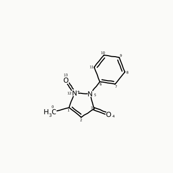 CC1=CC(=O)N(c2ccccc2)[N+]1=O